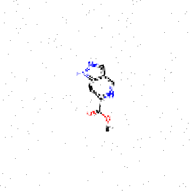 CC(C)OC(=O)c1cc2[nH]ncc2cn1